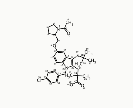 CC(=O)N1CCC[C@@H]1COc1ccc2c(c1)c(SC(C)(C)C)c(CC(C)(C)C(=O)O)n2Cc1ccc(Cl)cc1